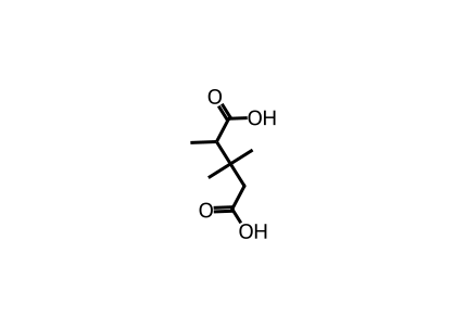 CC(C(=O)O)C(C)(C)CC(=O)O